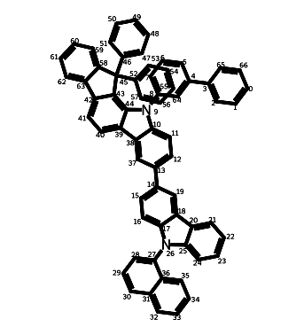 c1ccc(-c2cccc(-n3c4ccc(-c5ccc6c(c5)c5ccccc5n6-c5cccc6ccccc56)cc4c4ccc5c(c43)C(c3ccccc3)(c3ccccc3)c3ccccc3-5)c2)cc1